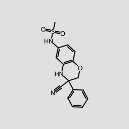 CS(=O)(=O)Nc1ccc2c(c1)NC(C#N)(c1ccccc1)CO2